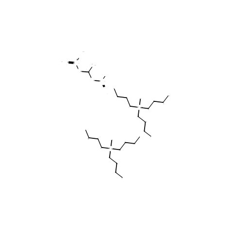 CCCC[N+](C)(CCCC)CCCC.CCCC[N+](C)(CCCC)CCCC.O=[PH]([O-])OC(Br)O[PH](=O)[O-]